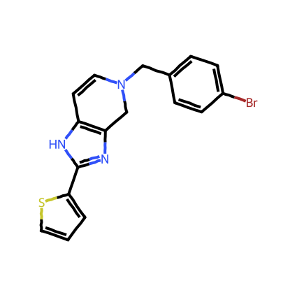 Brc1ccc(CN2C=Cc3[nH]c(-c4cccs4)nc3C2)cc1